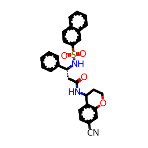 N#Cc1ccc2c(c1)OCCC2NC(=O)C[C@@H](NS(=O)(=O)c1ccc2ccccc2c1)c1ccccc1